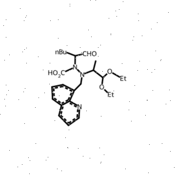 CCCCC(C=O)N(C(=O)O)N(Cc1cccc2cccnc12)C(C)C(OCC)OCC